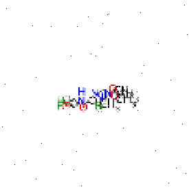 C[C@@H]1CN(C(=O)OC(C)(C)C)CCc2nc3cc(C(=O)Nc4ccc(OC(F)(F)Cl)cc4)cc(Br)c3n21